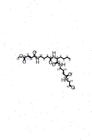 CCCCC(NC(=O)CCCNC(=O)/C=C/C(=O)OC)C(=O)NCCCC(=O)NCC=O